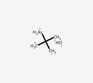 CC(C)(C)[AsH2].Cl